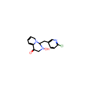 O=C1CN(O)C(Cc2ccc(Cl)nc2)N2CC=CC=C12